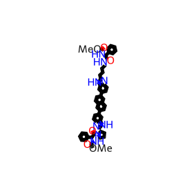 COC(=O)N[C@@H](C(=O)NCCCCc1nc2ccc(-c3ccc4cc(-c5ccc6nc([C@@H]7CCCN7C(=O)[C@H](NC(=O)OC)c7ccccc7)[nH]c6c5)ccc4c3)cc2[nH]1)c1ccccc1